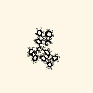 c1ccc([Si](c2ccccc2)(c2ccccc2)c2cccc(-c3cc(-n4c5ccccc5c5ccccc54)nc(-c4cccc([Si](c5ccccc5)(c5ccccc5)c5ccccc5)c4)n3)c2)cc1